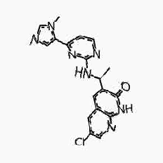 C[C@H](Nc1nccc(-c2cncn2C)n1)c1cc2cc(Cl)cnc2[nH]c1=O